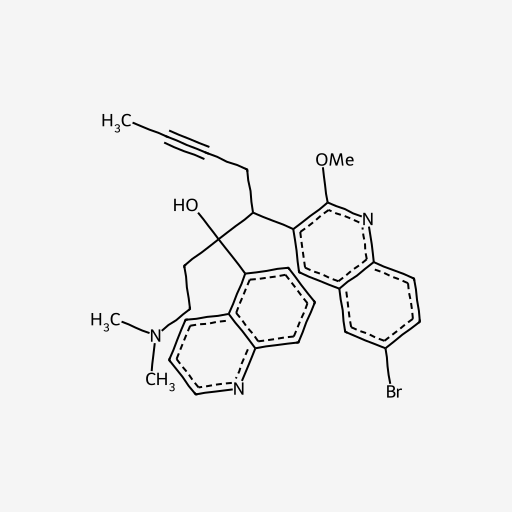 CC#CCC(c1cc2cc(Br)ccc2nc1OC)C(O)(CCN(C)C)c1cccc2ncccc12